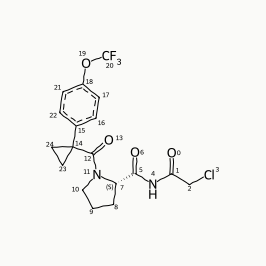 O=C(CCl)NC(=O)[C@@H]1CCCN1C(=O)C1(c2ccc(OC(F)(F)F)cc2)CC1